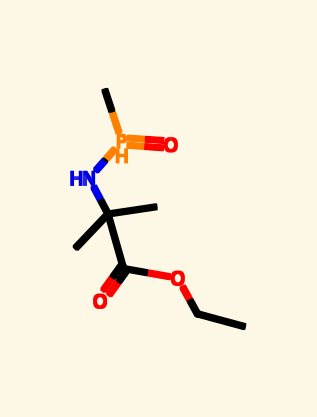 CCOC(=O)C(C)(C)N[PH](C)=O